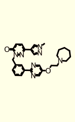 Cn1cc(-c2ccc(=O)n(Cc3cccc(-c4ncc(OCCN5CCCCCC5)cn4)c3)n2)cn1